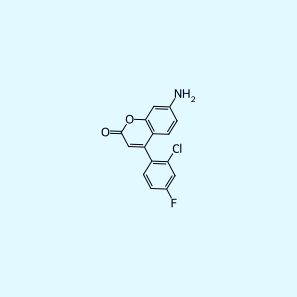 Nc1ccc2c(-c3ccc(F)cc3Cl)cc(=O)oc2c1